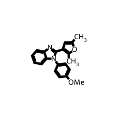 COc1ccc(-n2c(-c3cc(C)oc3C)nc3ccccc32)cc1